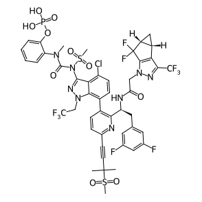 CN(C(=O)N(c1nn(CC(F)(F)F)c2c(-c3ccc(C#CC(C)(C)S(C)(=O)=O)nc3[C@H](Cc3cc(F)cc(F)c3)NC(=O)Cn3nc(C(F)(F)F)c4c3C(F)(F)[C@@H]3C[C@H]43)ccc(Cl)c12)S(C)(=O)=O)c1ccccc1OP(=O)(O)O